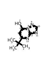 CC(C)(C)c1cc(O)n2ncnc2n1